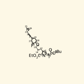 CCOC(=O)c1nc(N(C)C(=O)OC(C)(C)C)sc1C[C@H](C)COc1ccc(C#CCN(C)C)cc1F